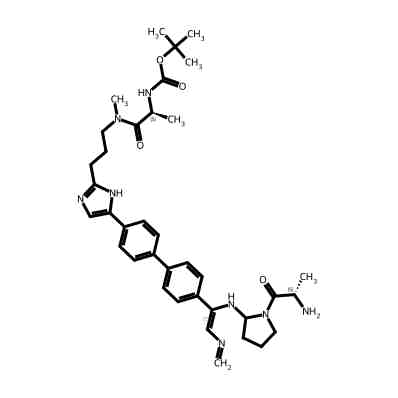 C=N/C=C(\NC1CCCN1C(=O)[C@H](C)N)c1ccc(-c2ccc(-c3cnc(CCCN(C)C(=O)[C@H](C)NC(=O)OC(C)(C)C)[nH]3)cc2)cc1